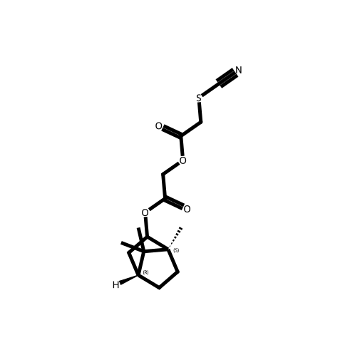 CC1(C)[C@@H]2CC[C@]1(C)C(OC(=O)COC(=O)CSC#N)C2